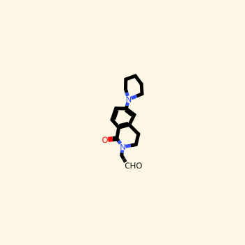 O=CCN1CCc2cc(N3CCCCC3)ccc2C1=O